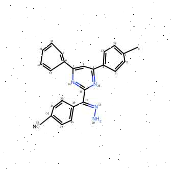 Cc1ccc(-c2cc(-c3ccccc3)nc(C(=NN)c3ccc(C#N)cc3)n2)cc1